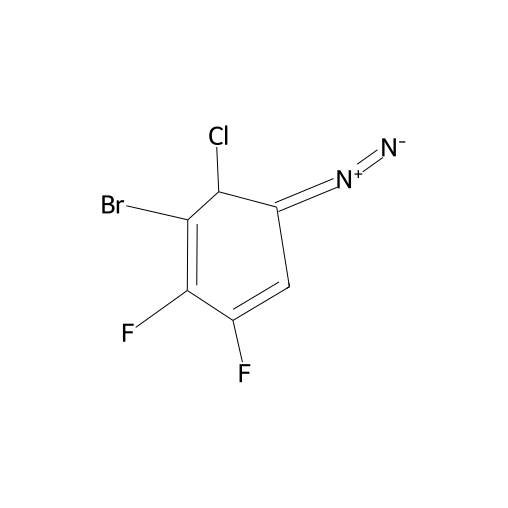 [N-]=[N+]=C1C=C(F)C(F)=C(Br)C1Cl